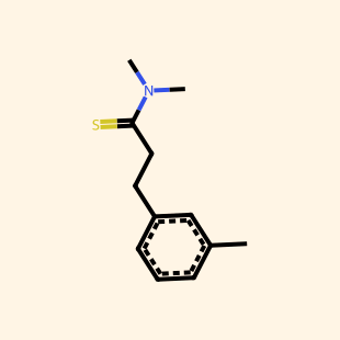 Cc1cccc(CCC(=S)N(C)C)c1